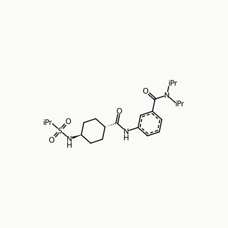 CC(C)N(C(=O)c1cccc(NC(=O)[C@H]2CC[C@H](NS(=O)(=O)C(C)C)CC2)c1)C(C)C